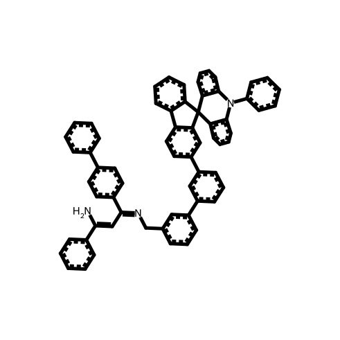 N/C(=C\C(=N/Cc1cccc(-c2cccc(-c3ccc4c(c3)C3(c5ccccc5-4)c4ccccc4N(c4ccccc4)c4ccccc43)c2)c1)c1ccc(-c2ccccc2)cc1)c1ccccc1